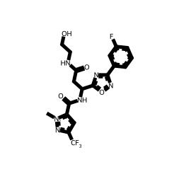 Cn1nc(C(F)(F)F)cc1C(=O)NC(CC(=O)NCCO)c1nc(-c2cccc(F)c2)no1